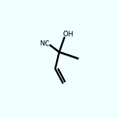 C=CC(C)(O)C#N